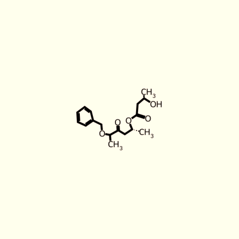 CC(OCc1ccccc1)C(=O)C[C@@H](C)OC(=O)C[C@@H](C)O